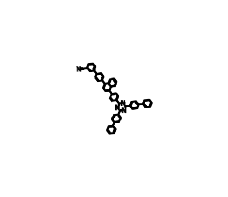 N#Cc1cccc(-c2ccc(-c3ccc(-c4ccc(-c5nc(-c6ccc(-c7ccccc7)cc6)nc(-c6ccc(-c7ccccc7)cc6)n5)cc4)c4ccccc34)cc2)c1